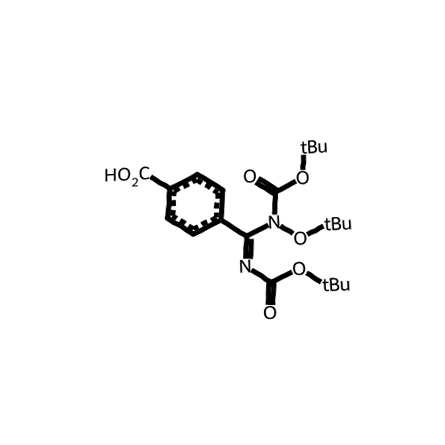 CC(C)(C)OC(=O)N=C(c1ccc(C(=O)O)cc1)N(OC(C)(C)C)C(=O)OC(C)(C)C